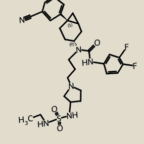 CCNS(=O)(=O)NC1CCN(CCCN(C(=O)Nc2ccc(F)c(F)c2)[C@@H]2CC[C@]3(c4cccc(C#N)c4)CC3C2)C1